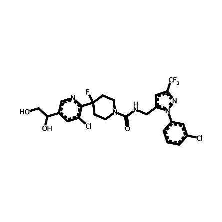 O=C(NCc1cc(C(F)(F)F)nn1-c1cccc(Cl)c1)N1CCC(F)(c2ncc(C(O)CO)cc2Cl)CC1